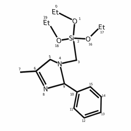 CCO[Si](CN1CC(C)=NC1c1ccccc1)(OCC)OCC